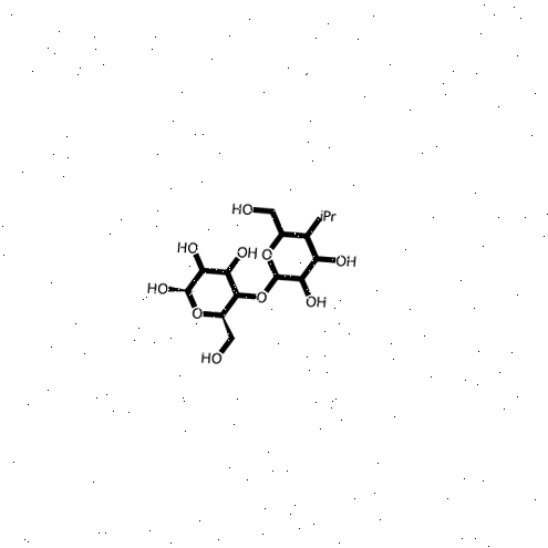 CC(C)C1C(CO)OC(OC2C(O)C(O)[C@H](O)O[C@@H]2CO)C(O)C1O